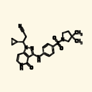 CC1(C)CCN(S(=O)(=O)c2ccc(Nc3nn(C(CC#N)C4CC4)c4cc[nH]c(=O)c34)cc2)C1